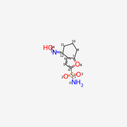 NS(=O)(=O)c1cc2c(o1)CCCC2=NO